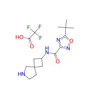 CC(C)(C)c1nc(C(=O)NC2CC3(CCNC3)C2)no1.O=C(O)C(F)(F)F